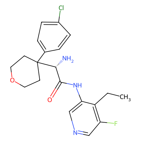 CCc1c(F)cncc1NC(=O)[C@@H](N)C1(c2ccc(Cl)cc2)CCOCC1